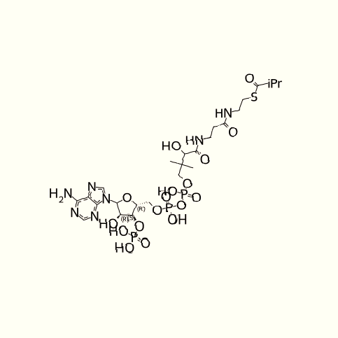 CC(C)C(=O)SCCNC(=O)CCNC(=O)C(O)C(C)(C)COP(=O)(O)OP(=O)(O)OC[C@H]1OC(n2cnc3c(N)ncnc32)[C@H](O)[C@@H]1OP(=O)(O)O